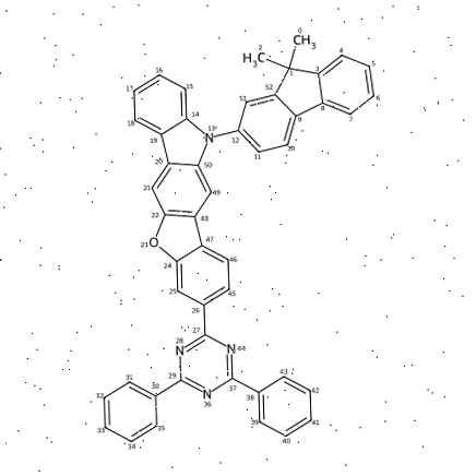 CC1(C)c2ccccc2-c2ccc(-n3c4ccccc4c4cc5oc6cc(-c7nc(-c8ccccc8)nc(-c8ccccc8)n7)ccc6c5cc43)cc21